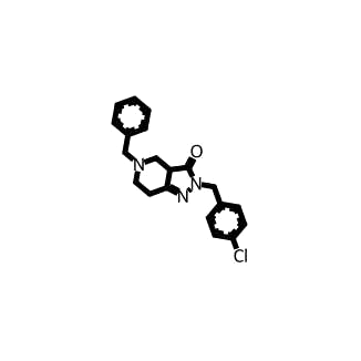 O=C1C2CN(Cc3ccccc3)CCC2=NN1Cc1ccc(Cl)cc1